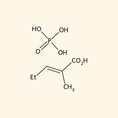 CC/C=C(\C)C(=O)O.O=P(O)(O)O